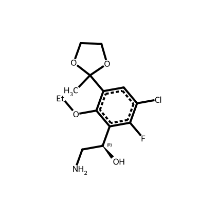 CCOc1c(C2(C)OCCO2)cc(Cl)c(F)c1[C@@H](O)CN